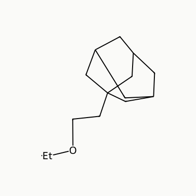 C[CH]OCCC12CC3CC(CC(C3)C1)C2